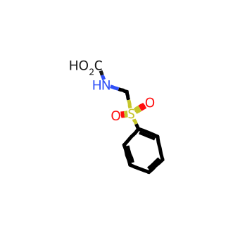 O=C(O)NCS(=O)(=O)c1ccccc1